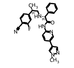 C[C@@H](CN[C@@H](C(=O)Nc1ccc(-c2cnn(C)c2)cn1)c1ccccc1)c1ccc(C#N)c(F)c1